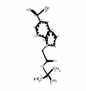 CC(C)(C)OC(=O)Cn1ccc2cc(C(=O)O)cnc21